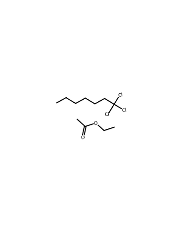 CCCCCCC(Cl)(Cl)Cl.CCOC(C)=O